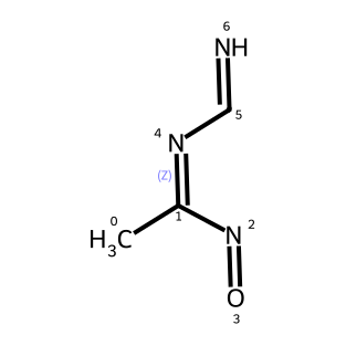 C/C(N=O)=N/C=N